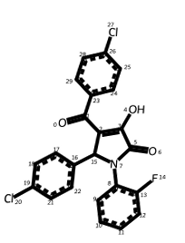 O=C(C1=C(O)C(=O)N(c2ccccc2F)C1c1ccc(Cl)cc1)c1ccc(Cl)cc1